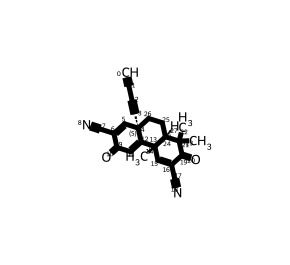 C#CC#C[C@@]12C=C(C#N)C(=O)C=C1[C@@]1(C)C=C(C#N)C(=O)C(C)(C)[C@@H]1CC2